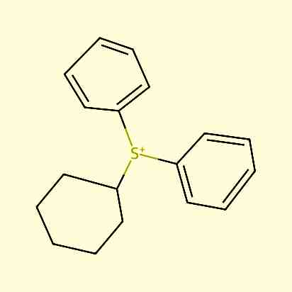 c1ccc([S+](c2ccccc2)C2CCCCC2)cc1